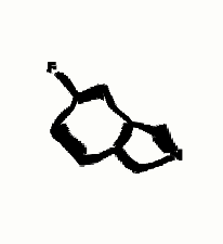 Fc1ccc2c(c1)C=NC2